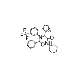 O=C(NC1CCCCC1)C(c1cccs1)N(C(=O)c1ccccc1)c1cccc(C(F)(F)F)c1